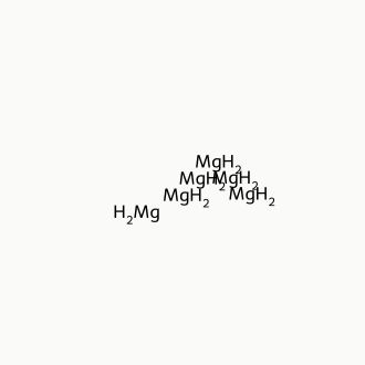 [MgH2].[MgH2].[MgH2].[MgH2].[MgH2].[MgH2]